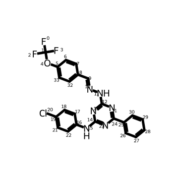 FC(F)(F)Oc1ccc(C=NNc2nc(Nc3ccc(Cl)cc3)nc(-c3ccccc3)n2)cc1